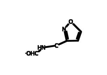 O=[C]NCc1ccon1